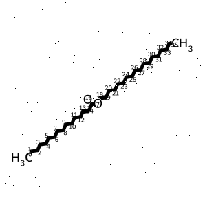 CCCCCCCCCCCCCC=CC(=O)OC=CCCCCCCCCCCCCCCCC